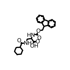 O=C(NC(CNC(=O)C1CCCCC1)C(=O)O)OCC1c2ccccc2-c2ccccc21